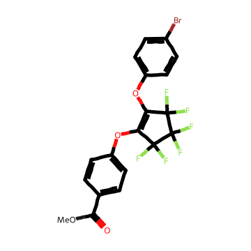 COC(=O)c1ccc(OC2=C(Oc3ccc(Br)cc3)C(F)(F)C(F)(F)C2(F)F)cc1